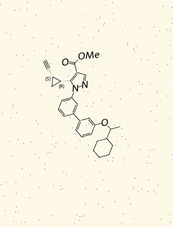 C#C[C@H]1C[C@H]1c1c(C(=O)OC)cnn1-c1cccc(-c2cccc(OC(C)C3CCCCC3)c2)c1